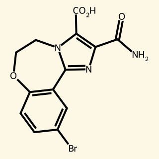 NC(=O)c1nc2n(c1C(=O)O)CCOc1ccc(Br)cc1-2